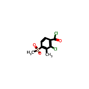 Cc1c(S(C)(=O)=O)ccc(C(=O)Cl)c1Cl